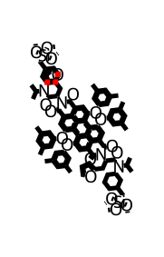 CO[Si](CC1CCCC(N(C(=O)C(Cc2ccco2)N2C(=O)c3cc(Oc4cc(C)cc(C)c4)c4c5c(Oc6cc(C)cc(C)c6)cc6c7c(cc(Oc8cc(C)cc(C)c8)c(c8c(Oc9cc(C)cc(C)c9)cc(c3c48)C2=O)c75)C(=O)N(C(Cc2ccco2)C(=O)N(C(C)C)C2CCCC(C[Si](OC)(OC)OC)C2)C6=O)C(C)C)C1)(OC)OC